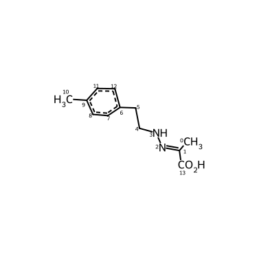 CC(=NNCCc1ccc(C)cc1)C(=O)O